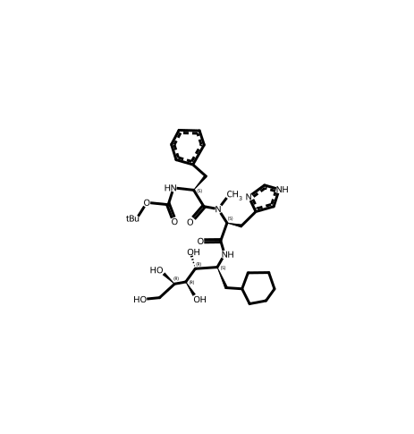 CN(C(=O)[C@H](Cc1ccccc1)NC(=O)OC(C)(C)C)[C@@H](Cc1c[nH]cn1)C(=O)N[C@@H](CC1CCCCC1)[C@@H](O)[C@@H](O)[C@H](O)CO